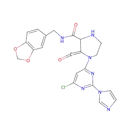 O=C=C1C(C(=O)NCc2ccc3c(c2)OCO3)NCCN1c1cc(Cl)nc(-n2ccnc2)n1